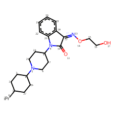 CC(C)C1CCC(N2CCC(N3C(=O)/C(=N\OCCO)c4ccccc43)CC2)CC1